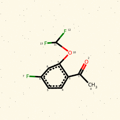 CC(=O)c1ccc(F)cc1OC(F)F